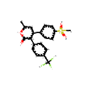 Cc1cc(-c2ccc(S(C)(=O)=O)cc2)c(-c2ccc(C(F)(F)F)cc2)c(=O)o1